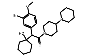 COc1ccc(C(C(=O)N2CCC(N3CCCCC3)CC2)C2(O)CCCCC2)cc1Br